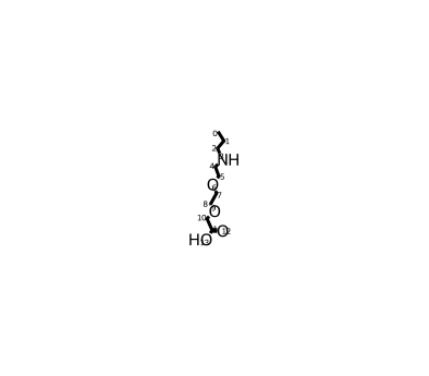 CCCNCCOCCOCC(=O)O